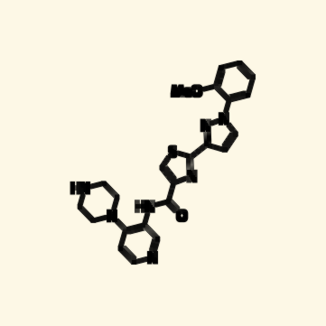 COc1ccccc1-n1ccc(-c2nc(C(=O)Nc3cnccc3N3CCNCC3)cs2)n1